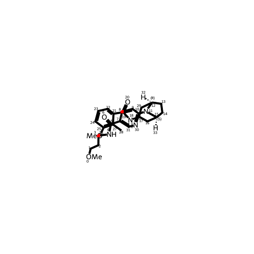 COCCCNC(=O)c1ccc(N2[C@@H]3CC[C@H]2C[C@@H](NC(=O)c2cccc(OC)c2C)C3)nc1